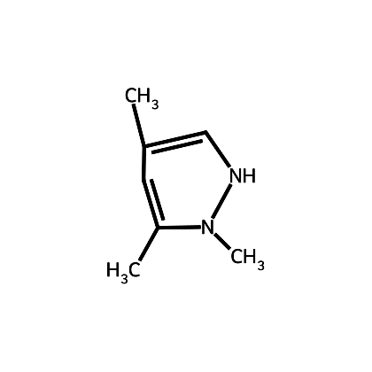 CC1=CNN(C)C(C)=C1